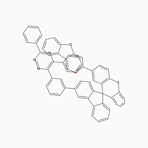 c1ccc(-c2nnc(-c3cccc(-c4ccc5c(c4)-c4ccccc4C54c5ccccc5Sc5ccc(-c6ccc7c(c6)oc6ccccc67)cc54)c3)c(-c3ccccc3)n2)cc1